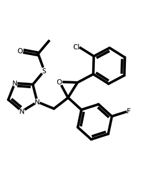 CC(=O)Sc1ncnn1CC1(c2cccc(F)c2)OC1c1ccccc1Cl